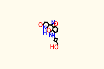 O=C1CCC(c2noc3ccc4c(cnn4C4CC(CO)C4)c23)C(=O)N1